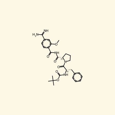 COc1cc(C(=N)N)ccc1C(=O)NC(=O)[C@@H]1CCCN1C(=O)[C@H](Cc1ccccc1)NC(=O)OC(C)(C)C